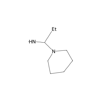 CCC([NH])N1CCCCC1